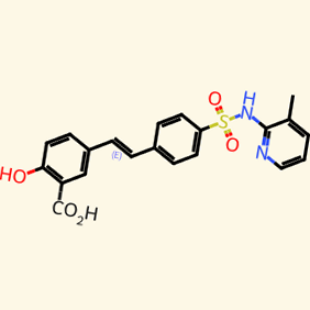 Cc1cccnc1NS(=O)(=O)c1ccc(/C=C/c2ccc(O)c(C(=O)O)c2)cc1